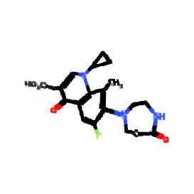 Cc1c(N2CCNC(=O)CC2)c(F)cc2c(=O)c(C(=O)O)cn(C3CC3)c12